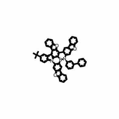 CC(C)(C)c1ccc2c(c1)c1c3c(oc4ccccc43)c3c4c1n2-c1cc2oc5ccccc5c2cc1B4N(c1cccc(-c2ccccc2)c1)c1cc2oc4ccccc4c2cc1-3